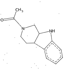 CC(=O)N1CCC2c3ccccc3NC2C1